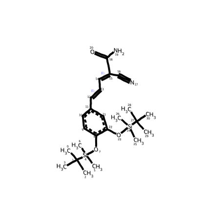 CC(C)(C)[Si](C)(C)Oc1ccc(/C=C/C=C(\C#N)C(N)=O)cc1O[Si](C)(C)C(C)(C)C